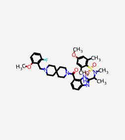 COc1cc(C)c(S(=O)(=O)N(C)C(C)c2nc3cccc(C(=O)N4CCC5(CCN(Cc6c(F)cccc6OC)CC5)CC4)c3[nH]2)c(C)c1